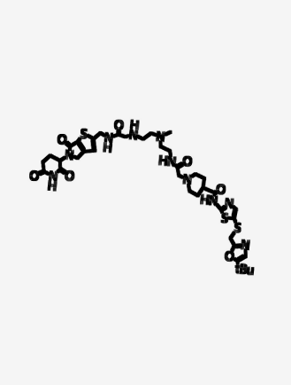 CN(CCNCC(=O)NCc1cc2c(s1)C(=O)N(C1CCC(=O)NC1=O)C2)CCNC(=O)CN1CCC(C(=O)Nc2ncc(SCc3ncc(C(C)(C)C)o3)s2)CC1